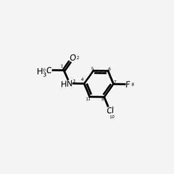 CC(=O)Nc1ccc(F)c(Cl)c1